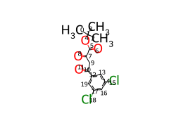 CC(C)(C)OC(=O)C(=O)CC(=O)c1cc(Cl)cc(Cl)c1